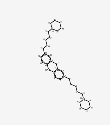 c1cc2c(cc1CCCCCN1CCCCC1)Cc1cc(CCCCCN3CCCCC3)ccc1O2